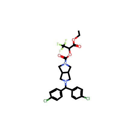 CCOC(=O)C(OC(=O)N1CC2CN(C(c3ccc(Cl)cc3)c3ccc(Cl)cc3)CC2C1)C(F)(F)F